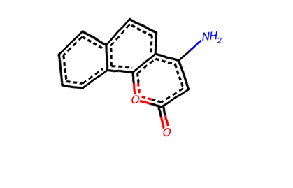 Nc1cc(=O)oc2c1ccc1ccccc12